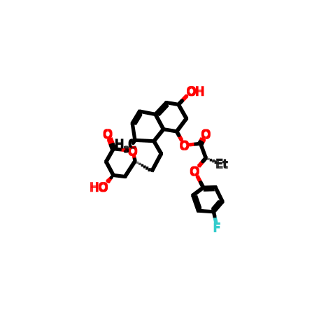 CC[C@H](Oc1ccc(F)cc1)C(=O)OC1CC(O)C=C2C=CC(C)C(CC[C@@H]3C[C@@H](O)CC(=O)O3)C21